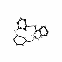 FC(F)(F)c1cccc(Oc2nc(OC3CCOCC3)nc3ccccc23)c1